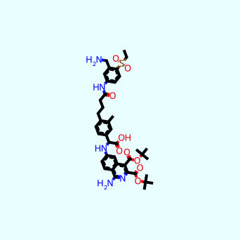 CCS(=O)(=O)c1ccc(NC(=O)CCCc2ccc(C(Nc3ccc4c(N)nc(C(=O)OC(C)(C)C)c(C(=O)OC(C)(C)C)c4c3)C(=O)O)cc2C)cc1CN